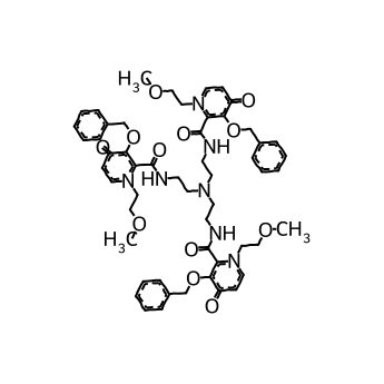 COCCn1ccc(=O)c(OCc2ccccc2)c1C(=O)NCCN(CCNC(=O)c1c(OCc2ccccc2)c(=O)ccn1CCOC)CCNC(=O)c1c(OCc2ccccc2)c(=O)ccn1CCOC